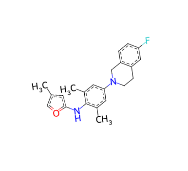 Cc1coc(Nc2c(C)cc(N3CCc4cc(F)ccc4C3)cc2C)c1